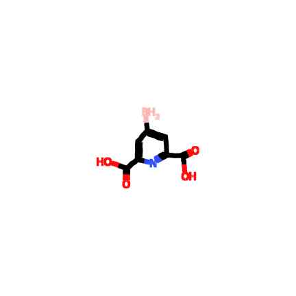 Bc1cc(C(=O)O)nc(C(=O)O)c1